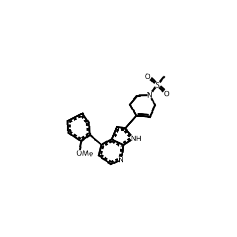 COc1ccccc1-c1ccnc2[nH]c(C3=CCN(S(C)(=O)=O)CC3)cc12